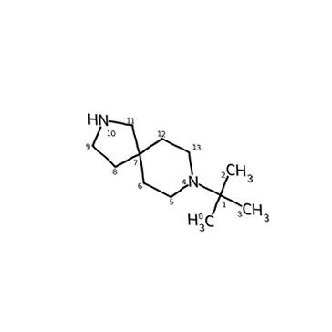 CC(C)(C)N1CCC2(CCNC2)CC1